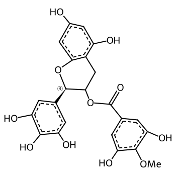 COc1c(O)cc(C(=O)OC2Cc3c(O)cc(O)cc3O[C@@H]2c2cc(O)c(O)c(O)c2)cc1O